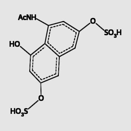 CC(=O)Nc1cc(OS(=O)(=O)O)cc2cc(OS(=O)(=O)O)cc(O)c12